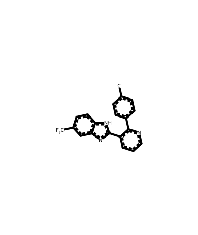 FC(F)(F)c1ccc2[nH]c(-c3cccnc3-c3ccc(Cl)cc3)nc2c1